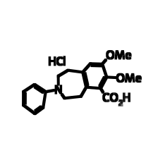 COc1cc2c(c(C(=O)O)c1OC)CCN(c1ccccc1)CC2.Cl